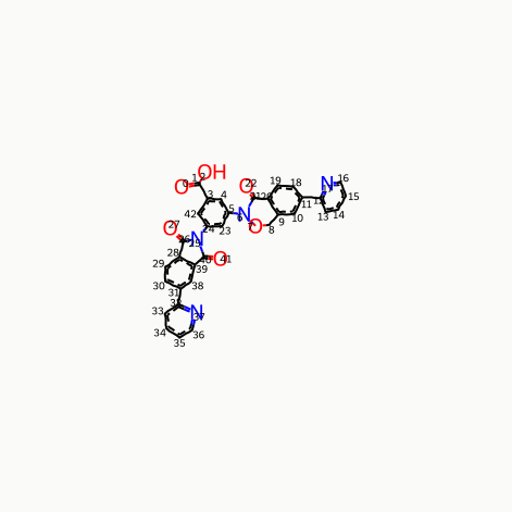 O=C(O)c1cc(N2OCc3cc(-c4ccccn4)ccc3C2=O)cc(N2C(=O)c3ccc(-c4ccccn4)cc3C2=O)c1